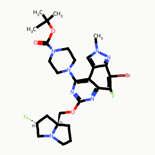 Cn1cc2c(n1)c(Br)c(F)c1nc(OC[C@@]34CCCN3C[C@H](F)C4)nc(N3CCN(C(=O)OC(C)(C)C)CC3)c12